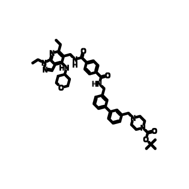 CCc1nc2c(cnn2CC)c(NC2CCOCC2)c1CNC(=O)c1ccc(C(=O)NCc2cccc(-c3cccc(CN4CCN(C(=O)OC(C)(C)C)CC4)c3)c2)cc1